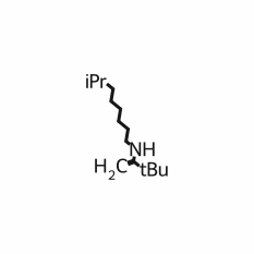 C=C(NCCCCCCC(C)C)C(C)(C)C